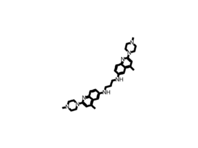 Cc1cc(N2CCN(C)CC2)nc2ccc(NCCCNc3ccc4nc(N5CCN(C)CC5)cc(C)c4c3)cc12